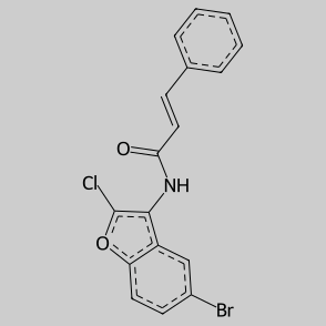 O=C(/C=C/c1ccccc1)Nc1c(Cl)oc2ccc(Br)cc12